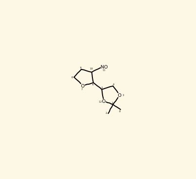 CC1(C)OCC(C2OCCC2N=O)O1